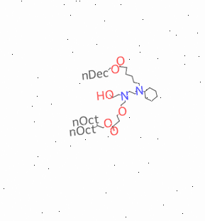 CCCCCCCCCCCOC(=O)CCCCCN(CCN(CCO)CCOCCC(=O)OCC(CCCCCCCC)CCCCCCCC)C1CCCCC1